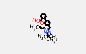 CC=CCn1nc(C(C)(C)C)nc1Cc1ccc(-c2ccccc2C(=O)O)cc1